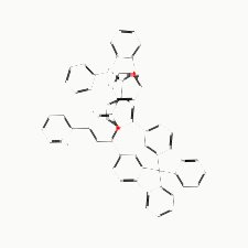 c1ccc(-n2c(-c3cccc(-c4ccc5c(c4)C4(c6ccccc6-5)c5ccccc5-c5ccc(-c6cc(-c7ccccn7)nc(-c7ccccn7)c6)cc54)c3)nc3ccccc32)cc1